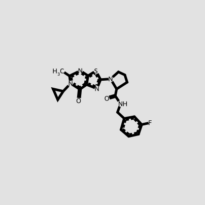 Cc1nc2sc(N3CCCC3C(=O)NCc3cccc(F)c3)nc2c(=O)n1C1CC1